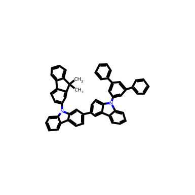 CC1(C)c2ccccc2-c2ccc(-n3c4ccccc4c4ccc(-c5ccc6c(c5)c5ccccc5n6-c5cc(-c6ccccc6)cc(-c6ccccc6)c5)cc43)cc21